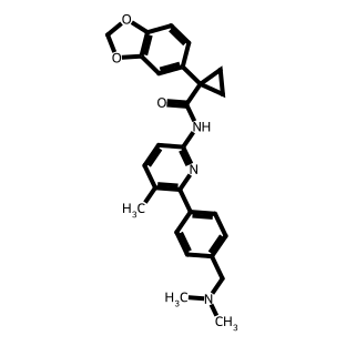 Cc1ccc(NC(=O)C2(c3ccc4c(c3)OCO4)CC2)nc1-c1ccc(CN(C)C)cc1